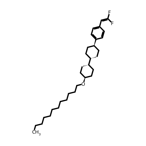 CCCCCCCCCCCCO[C@H]1CC[C@H]([C@H]2CC[C@H](c3ccc(C=C(F)F)cc3)CC2)CC1